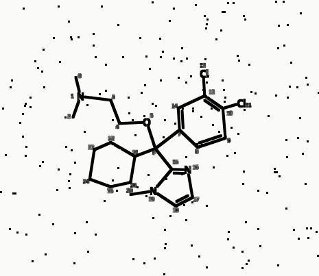 CN(C)CCOC(c1ccc(Cl)c(Cl)c1)(c1nccn1C)C1CCCCC1